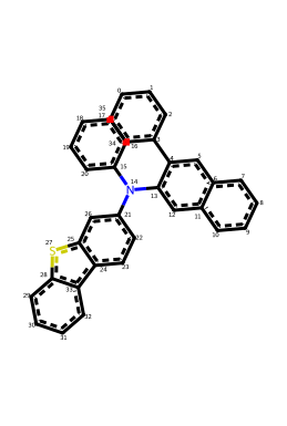 c1ccc(-c2cc3ccccc3cc2N(c2ccccc2)c2ccc3c(c2)sc2ccccc23)cc1